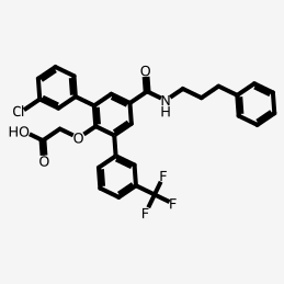 O=C(O)COc1c(-c2cccc(Cl)c2)cc(C(=O)NCCCc2ccccc2)cc1-c1cccc(C(F)(F)F)c1